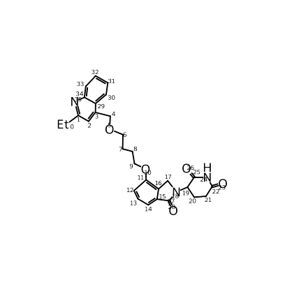 CCc1cc(COCCCCOc2cccc3c2CN(C2CCC(=O)NC2=O)C3=O)c2ccccc2n1